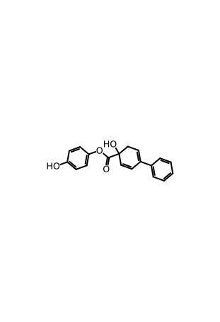 O=C(Oc1ccc(O)cc1)C1(O)C=CC(c2ccccc2)=CC1